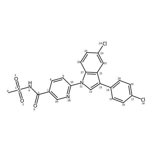 CS(=O)(=O)NC(=O)c1ccc(-n2cc(-c3ccc(Cl)cc3)c3cc(Cl)ccc32)nc1